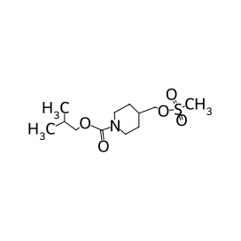 CC(C)COC(=O)N1CCC(COS(C)(=O)=O)CC1